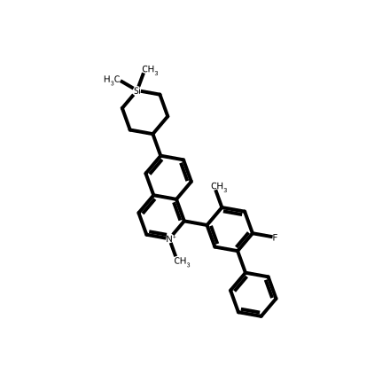 Cc1cc(F)c(-c2ccccc2)cc1-c1c2ccc(C3CC[Si](C)(C)CC3)cc2cc[n+]1C